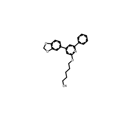 N#CCCCCCOc1cc(-c2ccc3c(c2)OCO3)cc(-c2ccccc2)n1